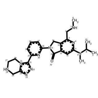 CNCc1nc(N(C)C(C)C)cc2c1CN(c1cccc(-c3nnc4n3CCNC4)n1)C2=O